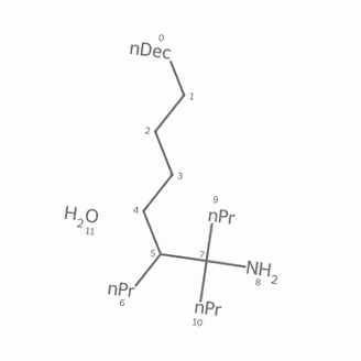 CCCCCCCCCCCCCCC(CCC)C(N)(CCC)CCC.O